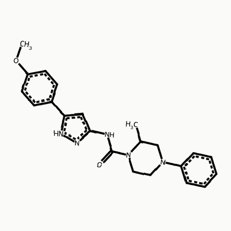 COc1ccc(-c2cc(NC(=O)N3CCN(c4ccccc4)CC3C)n[nH]2)cc1